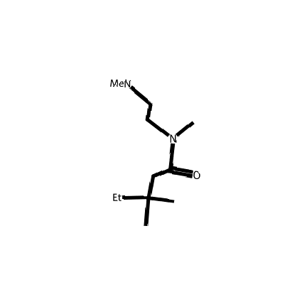 CCC(C)(C)CC(=O)N(C)CCNC